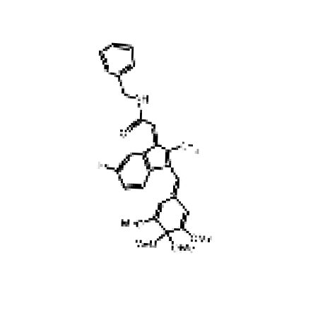 COC1=CC(=CC2=C(C)/C(=C/C(=O)NCc3ccccc3)c3cc(F)ccc32)C=C(OC)C1(OC)OC